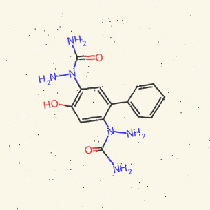 NC(=O)N(N)c1cc(-c2ccccc2)c(N(N)C(N)=O)cc1O